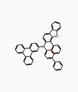 c1ccc(-c2ccc(N(c3ccc4c5ccccc5c5ccccc5c4c3)c3ccc4c(sc5ccccc54)c3-c3ccccc3)cc2)cc1